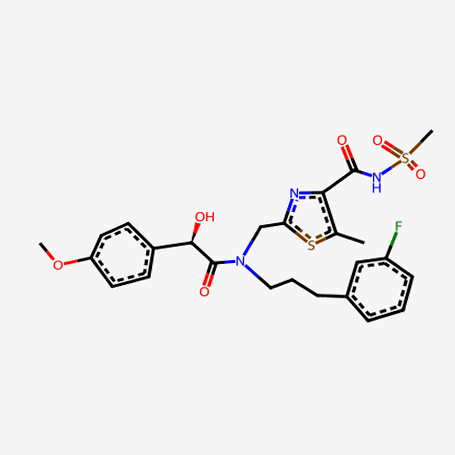 COc1ccc([C@@H](O)C(=O)N(CCCc2cccc(F)c2)Cc2nc(C(=O)NS(C)(=O)=O)c(C)s2)cc1